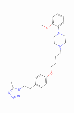 COc1ccccc1N1CCN(CCCCOc2ccc(CCn3nnnc3C)cc2)CC1